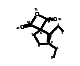 CCC1=C(CC)C2(CC1)C(=O)OC2=O